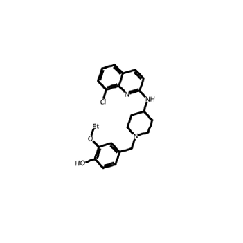 CCOc1cc(CN2CCC(Nc3ccc4cccc(Cl)c4n3)CC2)ccc1O